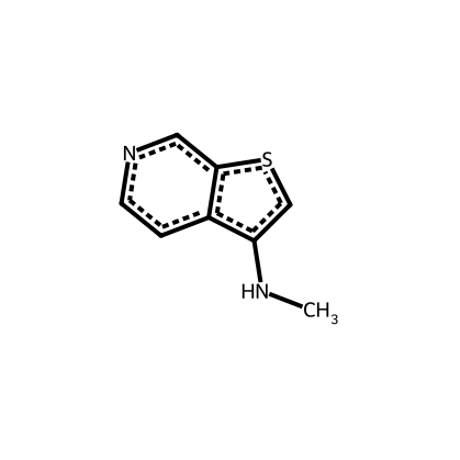 CNc1csc2cnccc12